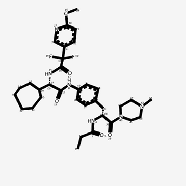 CCC(=O)N[C@H](Cc1ccc(NC(=O)[C@@H](NC(=O)C(F)(F)c2ccc(OC)nc2)C2CCCCCC2)cc1)C(=O)N1CCN(C)CC1